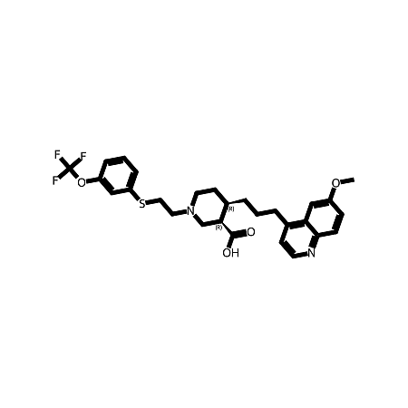 COc1ccc2nccc(CCC[C@@H]3CCN(CCSc4cccc(OC(F)(F)F)c4)C[C@@H]3C(=O)O)c2c1